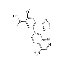 COc1cc(-c2ncco2)c(-c2ccc3c(N)cnnc3c2)cc1B(C)O